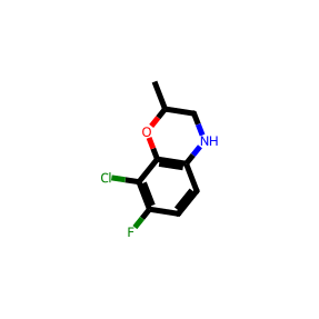 CC1CNc2ccc(F)c(Cl)c2O1